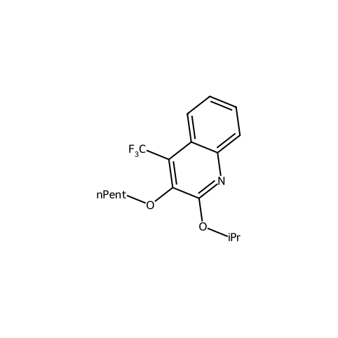 CCCCCOc1c(OC(C)C)nc2ccccc2c1C(F)(F)F